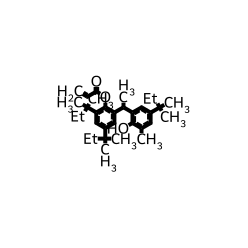 C=CC(=O)Oc1c(C(C)c2cc(C(C)(C)CC)cc(C)c2O)cc(C(C)(C)CC)cc1C(C)(C)CC